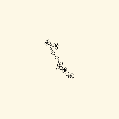 C=C(C)C(=O)OCC(C)(CCOc1ccc(-c2ccc(/C=C/C(=O)Oc3ccc(OC(=O)c4ccc(OC(=O)C(=C)C)cc4)cc3C3CC3)cc2)cc1)COC(=O)C(=C)C